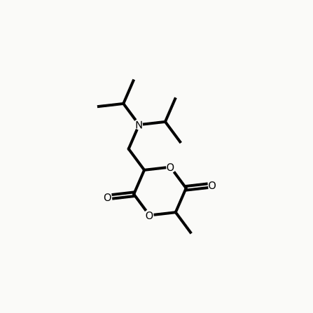 CC1OC(=O)C(CN(C(C)C)C(C)C)OC1=O